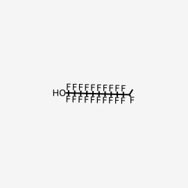 CC(F)C(F)(F)C(F)(F)C(F)(F)C(F)(F)C(F)(F)C(F)(F)C(F)(F)C(F)(F)C(F)(F)C(O)(F)F